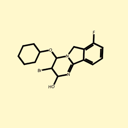 OC1N=C2c3cccc(F)c3CN2C(OC2CCCCC2)C1Br